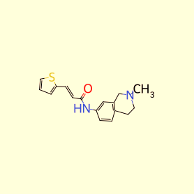 CN1CCc2ccc(NC(=O)C=Cc3cccs3)cc2C1